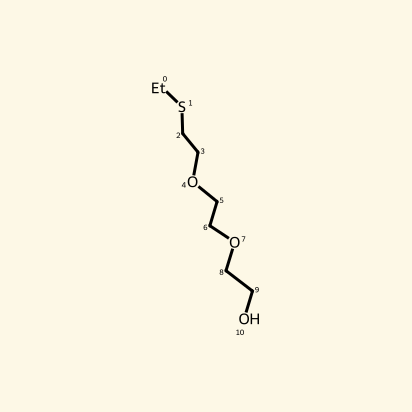 CCSCCOCCOCCO